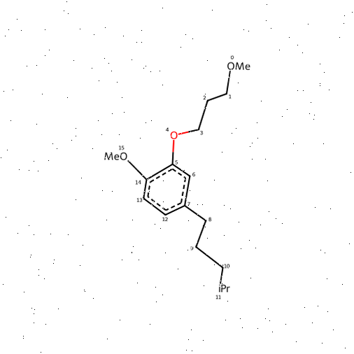 COCCCOc1cc(CC[CH]C(C)C)ccc1OC